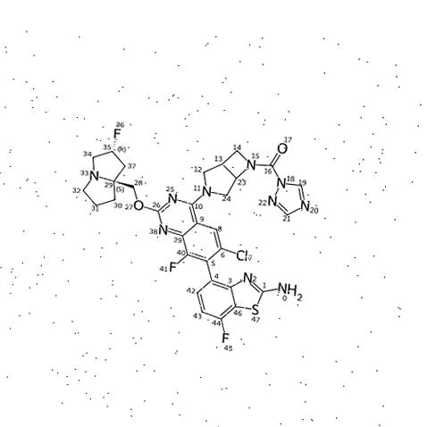 Nc1nc2c(-c3c(Cl)cc4c(N5CC6CN(C(=O)n7cncn7)C6C5)nc(OC[C@@]56CCCN5C[C@H](F)C6)nc4c3F)ccc(F)c2s1